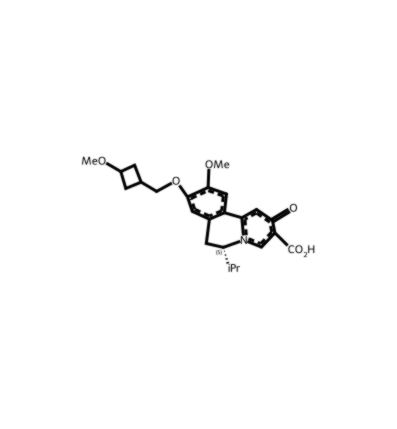 COc1cc2c(cc1OCC1CC(OC)C1)C[C@@H](C(C)C)n1cc(C(=O)O)c(=O)cc1-2